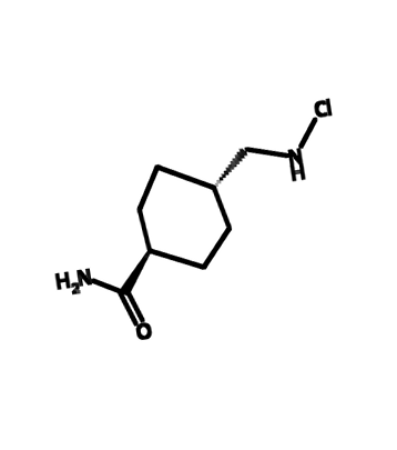 NC(=O)[C@H]1CC[C@H](CNCl)CC1